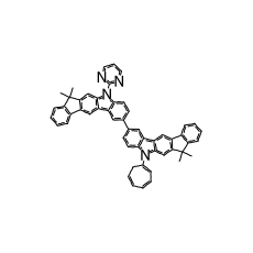 CC1(C)c2ccccc2-c2cc3c4cc(-c5ccc6c(c5)c5cc7c(cc5n6-c5ncccn5)C(C)(C)c5ccccc5-7)ccc4n(C4=CC=CC=CC4)c3cc21